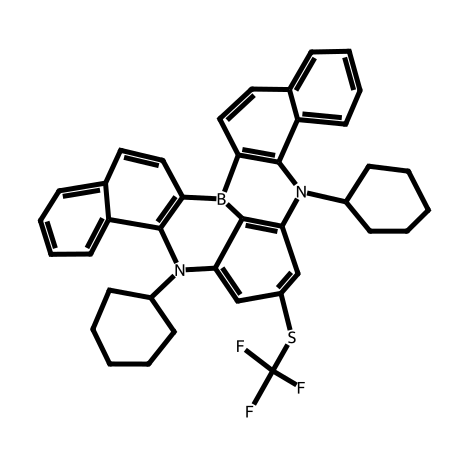 FC(F)(F)Sc1cc2c3c(c1)N(C1CCCCC1)c1c(ccc4ccccc14)B3c1ccc3ccccc3c1N2C1CCCCC1